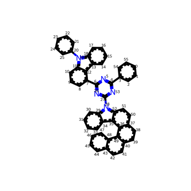 c1ccc(-c2nc(-c3cccc4c3c3ccccc3n4-c3ccccc3)nc(-n3c4ccccc4c4c5c(ccc6ccc7ccccc7c65)ccc43)n2)cc1